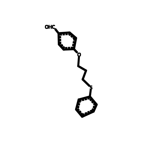 O=Cc1ccc(OCCCSc2ccccc2)cc1